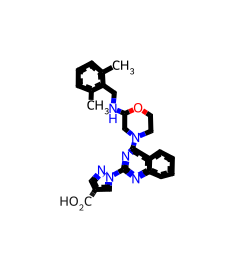 Cc1cccc(C)c1CNC1CN(c2nc(-n3cc(C(=O)O)cn3)nc3ccccc23)CCO1